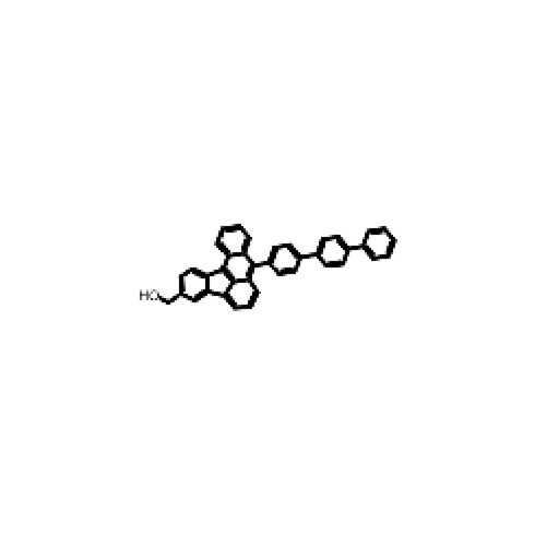 OCc1ccc2c(c1)-c1cccc3c(-c4ccc(-c5ccc(-c6ccccc6)cc5)cc4)c4ccccc4c-2c13